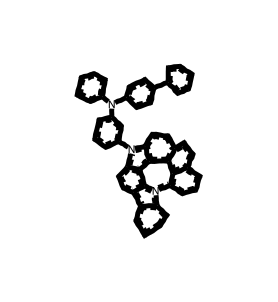 c1ccc(-c2ccc(N(c3ccccc3)c3cccc(-n4c5ccc6ccc7cccc8c7c6c5c5c4ccc4c6ccccc6n8c45)c3)cc2)cc1